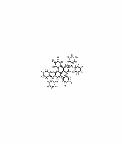 Cc1cc2c(cc1C)c1cc(N(c3ccccc3)c3ccccc3)cc3c4cc(C)c(C)cc4c4cc(N(c5ccccc5)c5ccccc5)cc2c4c13